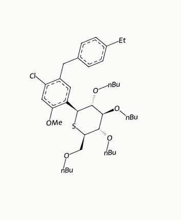 CCCCOC[C@H]1S[C@@H](c2cc(Cc3ccc(CC)cc3)c(Cl)cc2OC)[C@H](OCCCC)[C@@H](OCCCC)[C@@H]1OCCCC